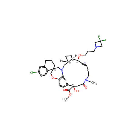 COC(=O)[C@@]1(O)CC(=O)N(C)CC/C=C/[C@H](OCCCN2CC(F)(F)C2)[C@@H]2CC[C@H]2CN2C[C@@]3(CCCc4cc(Cl)ccc43)COc3ccc1cc32